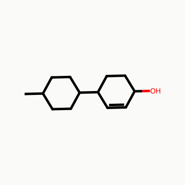 CC1CCC(C2C=CC(O)CC2)CC1